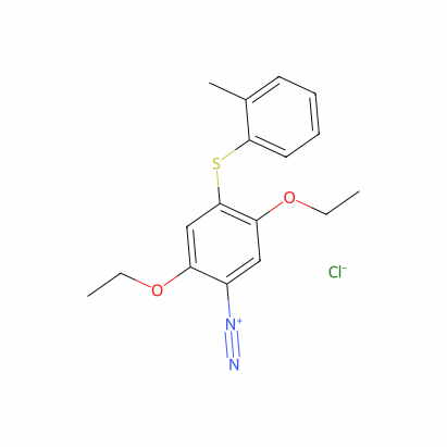 CCOc1cc(Sc2ccccc2C)c(OCC)cc1[N+]#N.[Cl-]